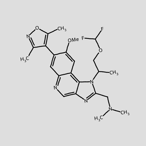 COc1cc2c(cc1-c1c(C)noc1C)ncc1nc(CN(C)C)n(C(C)COC(F)F)c12